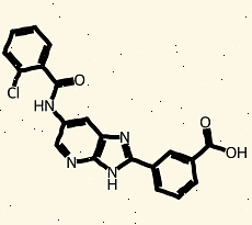 O=C(O)c1cccc(-c2nc3cc(NC(=O)c4ccccc4Cl)cnc3[nH]2)c1